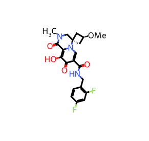 CO[C@H]1C[C@]2(CN(C)C(=O)c3c(O)c(=O)c(C(=O)NCc4ccc(F)cc4F)cn32)C1